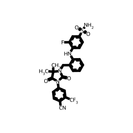 CC1(C)C(=O)N(c2ccc(C#N)c(C(F)(F)F)c2)C(=O)N1Cc1ccccc1Nc1ccc(S(N)(=O)=O)cc1F